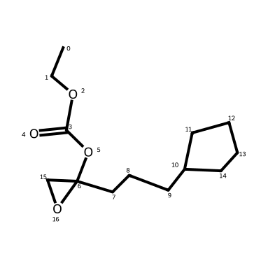 CCOC(=O)OC1(CCCC2CCCC2)CO1